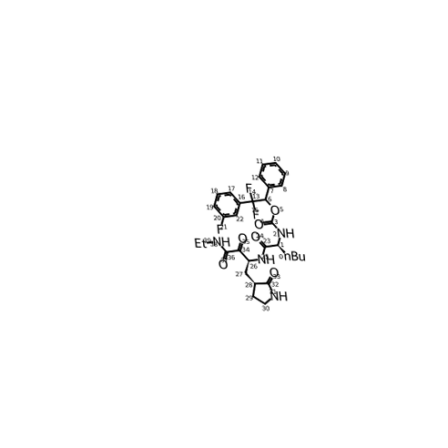 CCCC[C@H](NC(=O)OC(c1ccccc1)C(F)(F)c1cccc(F)c1)C(=O)N[C@@H](C[C@@H]1CCNC1=O)C(=O)C(=O)NCC